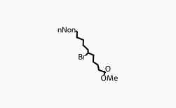 CCCCCCCCCCCCCCC(Br)CCCCC(=O)OC